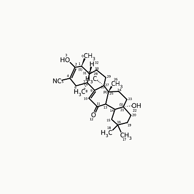 C[C@@H]1C(O)=C(C#N)C[C@]2(C)C3=CC(=O)C4C5CC(C)(C)CC[C@]5(O)CC[C@@]4(C)[C@]3(C)CC[C@@H]12